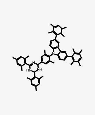 CC1=CC(C)C(C)C(c2ccc3c(c2)c2cc(-c4c(C)c(C)cc(C)c4C)ccc2n3-c2c(C)cc(C3N=C(c4c(C)cc(C)cc4C)NC(c4c(C)cc(C)cc4C)N3)cc2C)=C1C